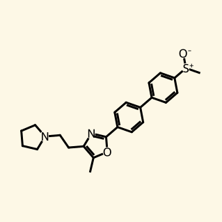 Cc1oc(-c2ccc(-c3ccc([S+](C)[O-])cc3)cc2)nc1CCN1CCCC1